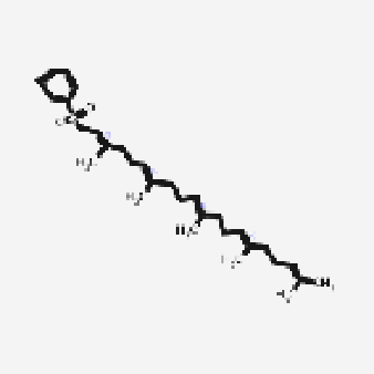 CC(C)=CCC/C(C)=C/CC/C(C)=C/CC/C(C)=C/CC/C(C)=C/CS(=O)(=O)c1ccccc1